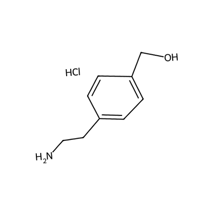 Cl.NCCc1ccc(CO)cc1